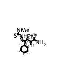 CCC(C(=NNC(=S)NC)c1ccccc1)C(C)C(N)=O